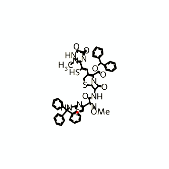 CON=C(C(=O)NC1C(=O)N2C(C(=O)OC(c3ccccc3)c3ccccc3)=C(C=C(S)c3nc(=O)c(=O)[nH]n3C)CSC12)c1csc(NC(c2ccccc2)(c2ccccc2)c2ccccc2)n1